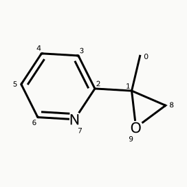 CC1(c2ccccn2)CO1